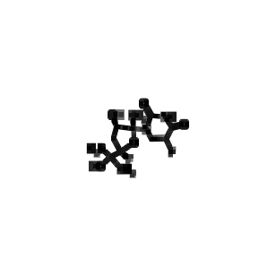 BC(B)(O)[C@]1(F)C[C@@H](O)[C@](B)(n2cc(F)c(=O)[nH]c2=O)O1